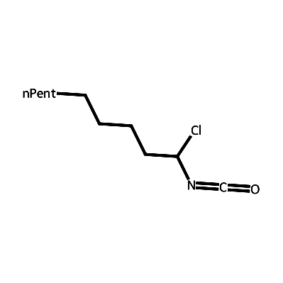 CCCCCCCCCC(Cl)N=C=O